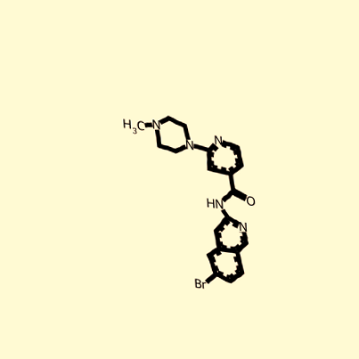 CN1CCN(c2cc(C(=O)Nc3cc4cc(Br)ccc4cn3)ccn2)CC1